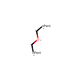 [CH2]CCCC[CH]O[CH]CCCC[CH2]